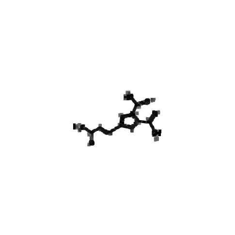 CC(=O)C=Cc1cc(C(=O)O)n(C(=O)O)c1